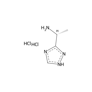 C[C@@H](N)c1nc[nH]n1.Cl.Cl